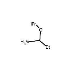 [CH2]CC([SiH3])OC(C)C